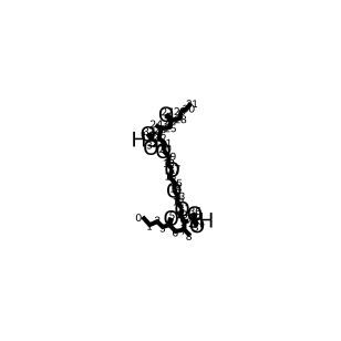 CCCCC(=O)CC(C)C(COCCOCCOCCOCC(C(C)CC(=O)CCCC)[SH](=O)=O)[SH](=O)=O